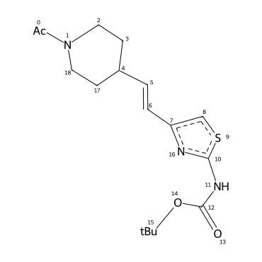 CC(=O)N1CCC(C=Cc2csc(NC(=O)OC(C)(C)C)n2)CC1